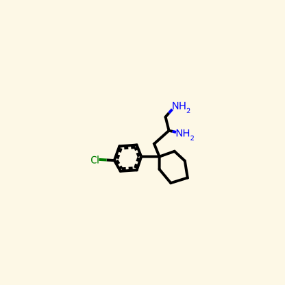 NCC(N)CC1(c2ccc(Cl)cc2)CCCCC1